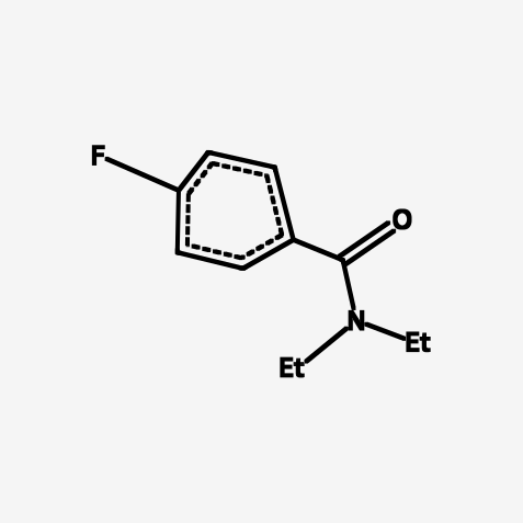 CCN(CC)C(=O)c1ccc(F)cc1